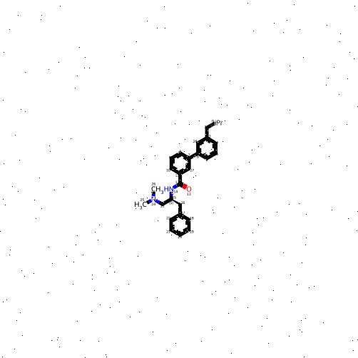 CC(C)Cc1cccc(-c2cccc(C(=O)N[C@@H](Cc3ccccc3)CN(C)C)c2)c1